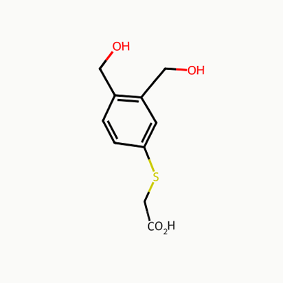 O=C(O)CSc1ccc(CO)c(CO)c1